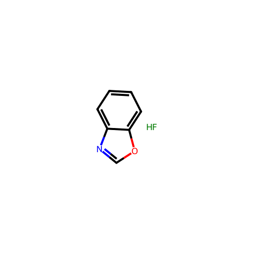 F.c1ccc2ocnc2c1